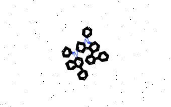 c1ccc(-c2ccccc2-c2cccc3c2c2cc(N(c4ccccc4)c4ccc(-c5ccccc5)c5ccccc45)ccc2n3-c2ccccc2)cc1